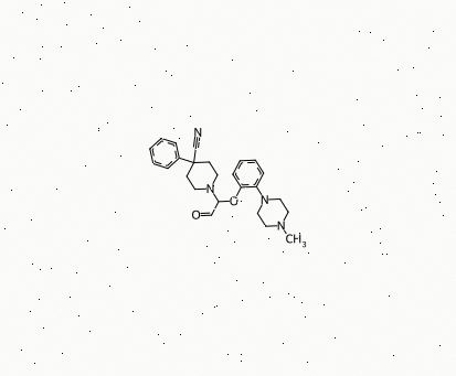 CN1CCN(c2ccccc2OC(C=O)N2CCC(C#N)(c3ccccc3)CC2)CC1